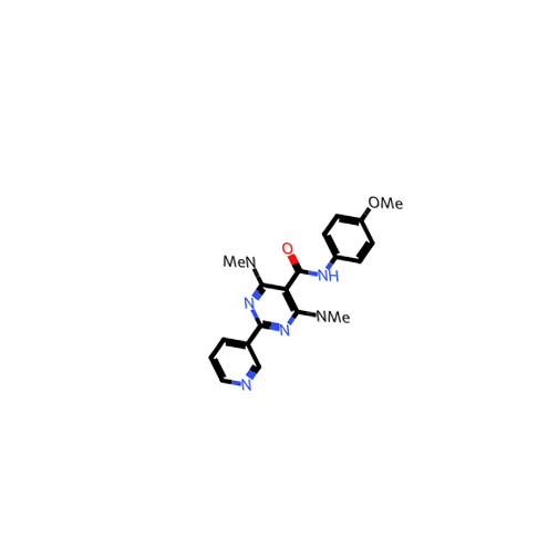 CNc1nc(-c2cccnc2)nc(NC)c1C(=O)Nc1ccc(OC)cc1